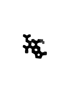 CC(=O)N(OCC(C)C)c1cc2c(cc1C(N)=O)C(=O)CC2